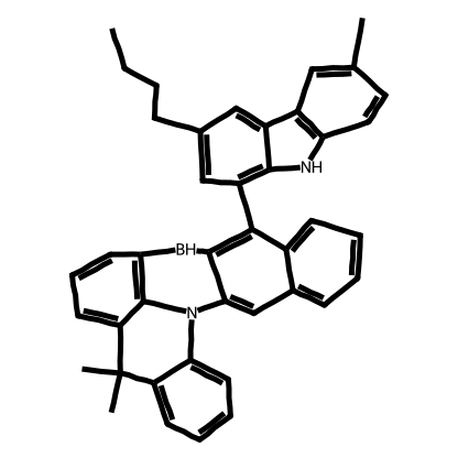 CCCCc1cc(-c2c3c(cc4ccccc24)N2c4ccccc4C(C)(C)c4cccc(c42)B3)c2[nH]c3ccc(C)cc3c2c1